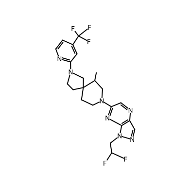 CC1CN(c2cnc3cnn(CC(F)F)c3n2)CCC12CCN(c1cc(C(F)(F)F)ccn1)C2